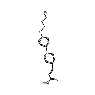 COC(=O)/C=C/c1ccc(-c2ccc(OCCCC(C)C)cc2)cc1